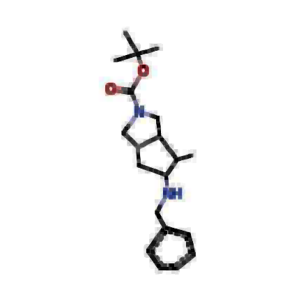 CC1C(NCc2ccccc2)CC2CN(C(=O)OC(C)(C)C)CC21